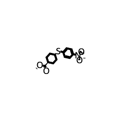 COC(=O)[C@H]1CC[C@@H](Sc2ccc([N+](=O)[O-])cc2)CC1